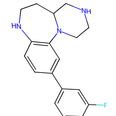 Fc1cccc(-c2ccc3c(c2)N2CCNCC2CCN3)c1